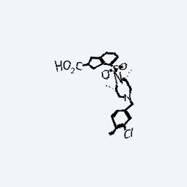 Cc1ccc(CN2C[C@@H](C)N(S(=O)(=O)c3cccc4c3CC(C(=O)O)C4)[C@@H](C)C2)cc1Cl